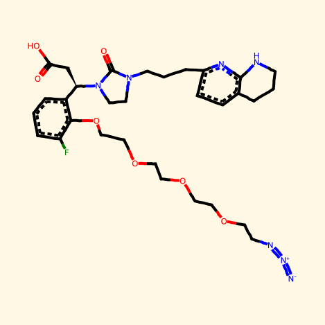 [N-]=[N+]=NCCOCCOCCOCCOc1c(F)cccc1[C@@H](CC(=O)O)N1CCN(CCCc2ccc3c(n2)NCCC3)C1=O